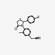 Cc1cc(CC#N)ccc1N1C(=O)CSC1c1ccc(F)cc1